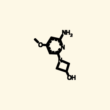 COc1cc(N)nc(N2CC(O)C2)c1